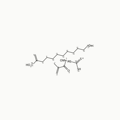 C=C(C)C(=O)OC.C=C(CCCCCCCCCCCCCCCCCCC)C(=O)O.S=C(S)S